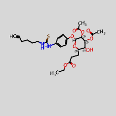 C#CCCCCNC(=S)Nc1ccc(O[C@H]2O[C@H](CCC(=O)OCC)[C@@H](O)[C@H](OC(C)=O)[C@@H]2OC(C)=O)cc1